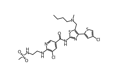 CCCCN(C)Cc1sc(NC(=O)c2cnc(NCCNS(C)(=O)=O)c(Cl)c2)nc1-c1cc(Cl)cs1